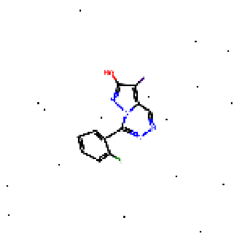 Oc1nn2c(-c3ccccc3F)nncc2c1I